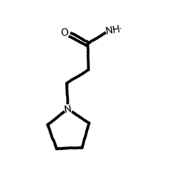 [NH]C(=O)CCN1CCCC1